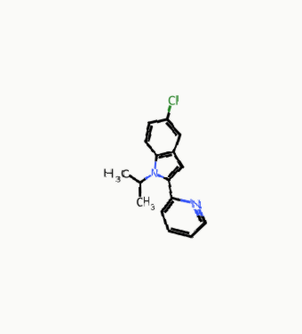 CC(C)n1c(-c2ccccn2)cc2cc(Cl)ccc21